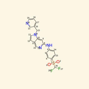 O=S(=O)(c1ccc(Nc2cc3c(ccn3Cc3cccnc3)cn2)cc1)C(F)F